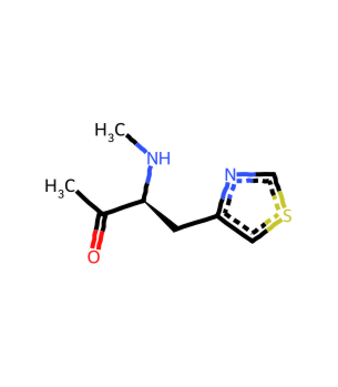 CN[C@@H](Cc1cscn1)C(C)=O